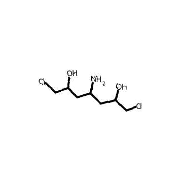 NC(CC(O)CCl)CC(O)CCl